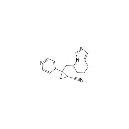 N#CC1CC1(CC1CCCc2cncn21)c1ccncc1